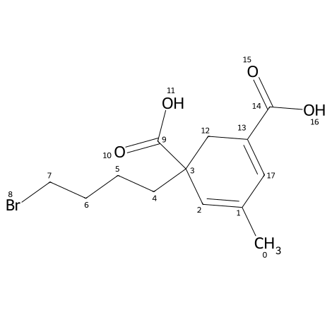 CC1=CC(CCCCBr)(C(=O)O)CC(C(=O)O)=C1